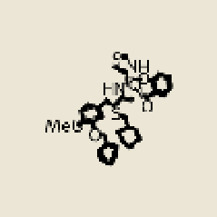 COc1ccc(CC(SCC2CCCCC2)C(CNC(=O)c2ccccc2O)NC(=O)[C@@H]2CSCN2)cc1OCc1ccccc1